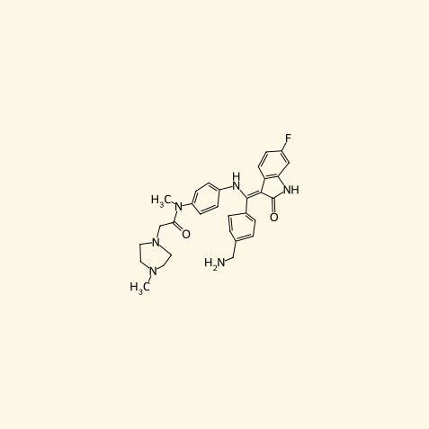 CN1CCN(CC(=O)N(C)c2ccc(NC(=C3C(=O)Nc4cc(F)ccc43)c3ccc(CN)cc3)cc2)CC1